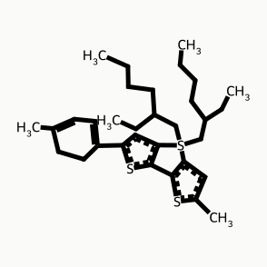 CCCCC(CC)CS1(CC(CC)CCCC)c2cc(C)sc2-c2sc(C3=CC=C(C)CC3)cc21